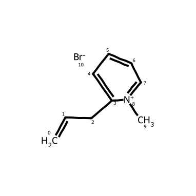 C=CCc1cccc[n+]1C.[Br-]